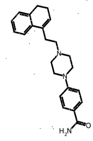 NC(=O)c1ccc(N2CCN(CCC3=CCCc4ccccc43)CC2)cc1